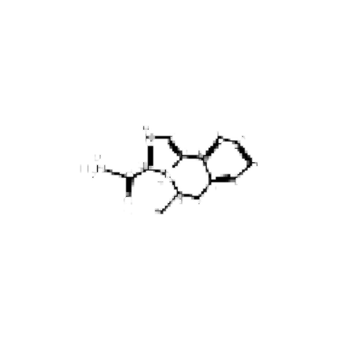 CC1Cc2ccccc2-c2cnc(C(N)=O)n21